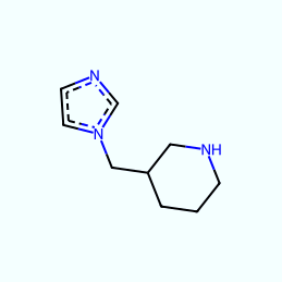 c1cn(CC2CCCNC2)cn1